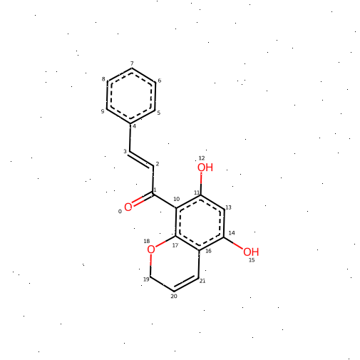 O=C(C=Cc1ccccc1)c1c(O)cc(O)c2c1OCC=C2